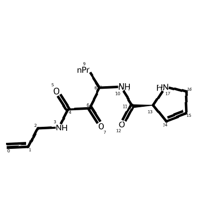 C=CCNC(=O)C(=O)C(CCC)NC(=O)[C@@H]1C=CCN1